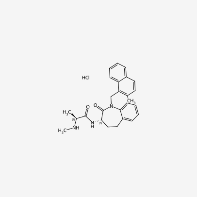 CN[C@@H](C)C(=O)N[C@H]1CCc2ccccc2N(Cc2c(C)ccc3ccccc23)C1=O.Cl